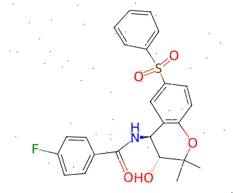 CC1(C)Oc2ccc(S(=O)(=O)c3ccccc3)cc2[C@H](NC(=O)c2ccc(F)cc2)[C@H]1O